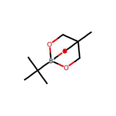 CC12CO[B-](C(C)(C)C)(OC1)OC2